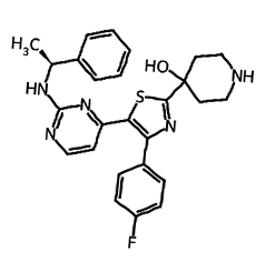 C[C@H](Nc1nccc(-c2sc(C3(O)CCNCC3)nc2-c2ccc(F)cc2)n1)c1ccccc1